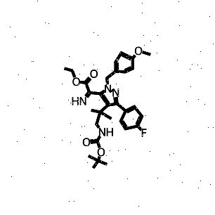 CCOC(=O)C(=N)c1c(C(C)(C)CNC(=O)OC(C)(C)C)c(-c2ccc(F)cc2)nn1Cc1ccc(OC)cc1